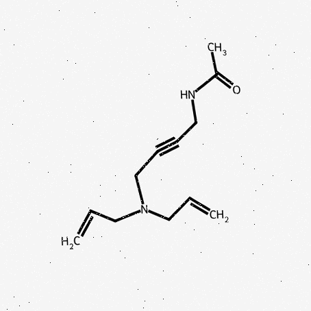 C=CCN(CC#CCNC(C)=O)CC=C